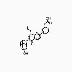 CCCOc1nc(N2CCC[C@@H](CC(=O)O)C2)ccc1C(=O)NC1C2CC3CC1CC(O)(C3)C2